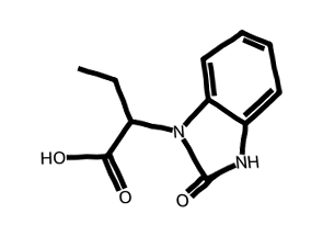 CCC(C(=O)O)n1c(=O)[nH]c2ccccc21